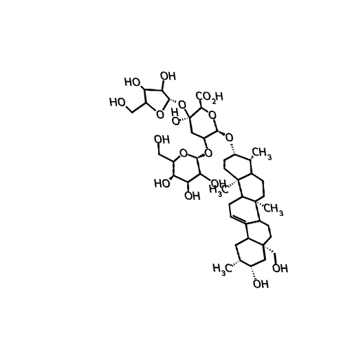 C[C@@H]1CC2C3=CCC4[C@@](C)(CCC5[C@@H](C)[C@@H](O[C@@H]6OC(C(=O)O)[C@](O)(O[C@@H]7OC(CO)C(O)C7O)CC6O[C@@H]6OC(CO)[C@H](O)C(O)C6O)CC[C@@]54C)C3CC[C@@]2(CO)C[C@@H]1O